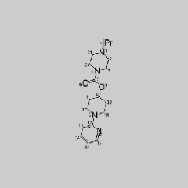 CC(C)N1CCN(C(=O)OC2CCN(c3ccccn3)CC2)CC1